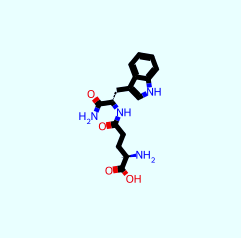 NC(=O)[C@H](Cc1c[nH]c2ccccc12)NC(=O)CC[C@@H](N)C(=O)O